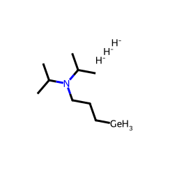 CC(C)N(CC[CH2][GeH3])C(C)C.[H-].[H-].[H-]